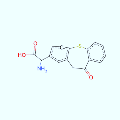 NC(C(=O)O)c1ccc2c(c1)CC(=O)c1ccccc1S2